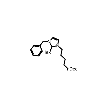 CCCCCCCCCCCCCCN1C=CN(Cc2ccccc2)C1CCCCCC